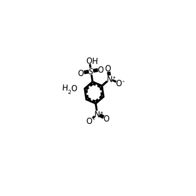 O.O=[N+]([O-])c1ccc(S(=O)(=O)O)c([N+](=O)[O-])c1